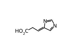 O=C(O)CC=C1C=NC=N1